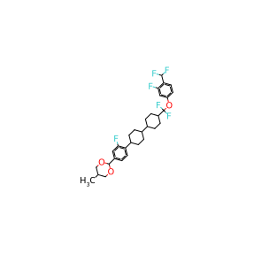 CC1COC(c2ccc(C3CCC(C4CCC(C(F)(F)Oc5ccc(C(F)F)c(F)c5)CC4)CC3)c(F)c2)OC1